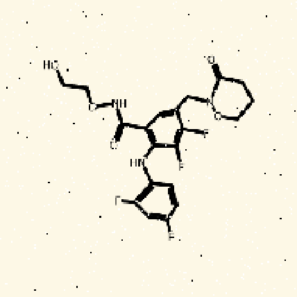 O=C(NOCCO)c1cc(CN2OCCCC2=O)c(F)c(F)c1Nc1ccc(F)cc1F